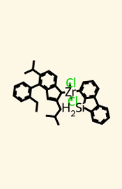 CCc1ccccc1-c1c(C(C)C)ccc2c1C=C(CC(C)C)[CH]2[Zr]([Cl])([Cl])[c]1cccc2c1[SiH2]c1ccccc1-2